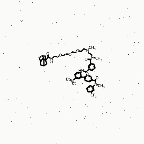 CCN(CC)c1ccc(NC(=O)c2cccc(C(=O)N(C)CCN(C)CCOCCOCCOCCNC(=O)C34CC5CC(CC(C5)C3)C4)c2)c(-c2ccc(C(=O)N(C)c3cccc(C(F)(F)F)c3)cn2)c1